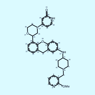 COc1ncccc1CN1CCC(Nc2ccc3c(c2)Cc2cccc(C4CN(c5cc[nH]c(=O)c5)CCO4)c2O3)CC1